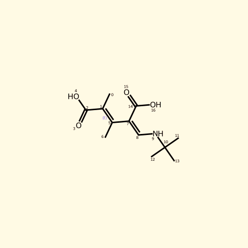 C/C(C(=O)O)=C(/C)C(=CNC(C)(C)C)C(=O)O